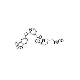 O=C=NCC1=CCCC(OC(C(=O)O)c2ccnc(Oc3ccc4nsnc4c3)c2)C1